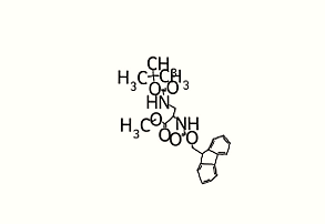 COC(=O)C(CNC(=O)OC(C)(C)C)NC(=O)OCC1c2ccccc2-c2ccccc21